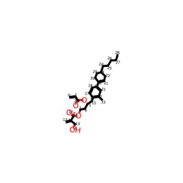 C=CC(=O)OC(CCOC(=O)C(=C)CO)Cc1ccc(C2=CCC(CCCCC)CC2)cc1C